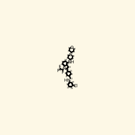 FC(F)C(F)n1c(-c2ccc(CNc3cccc(Cl)c3)cc2)cc2c(NC3CCN(C4CCOCC4)CC3)cccc21